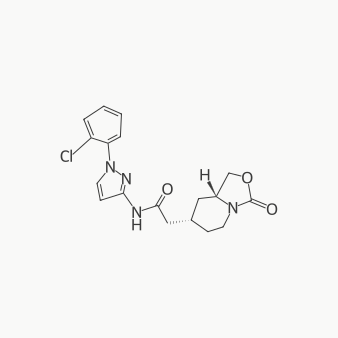 O=C(C[C@H]1CCN2C(=O)OC[C@H]2C1)Nc1ccn(-c2ccccc2Cl)n1